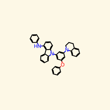 c1ccc(Nc2cccc3c2c2ccccc2n3-c2cc(Oc3ccccc3)cc(N3CCCc4ccccc43)c2)cc1